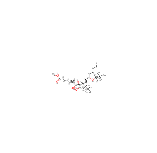 CCCCCC(C=CC1(C)C(O[SiH3])(C(O)CCCCCC(=O)OC)C(=O)CC1(C)C(C)(C)C)O[Si](C)(C)C(C)(C)C